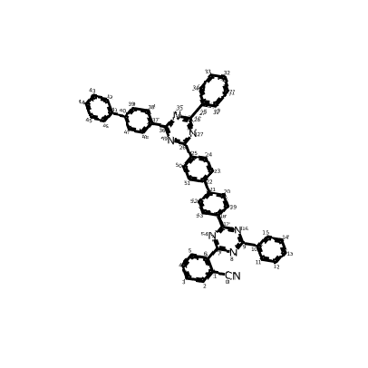 N#Cc1ccccc1-c1nc(-c2ccccc2)nc(-c2ccc(-c3ccc(-c4nc(-c5ccccc5)nc(-c5ccc(-c6ccccc6)cc5)n4)cc3)cc2)n1